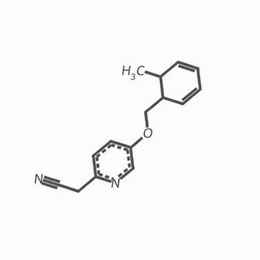 CC1C=CC=CC1COc1ccc(CC#N)nc1